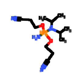 CC(C)N(C(C)C)[PH](N)(OCCC#N)OCCC#N